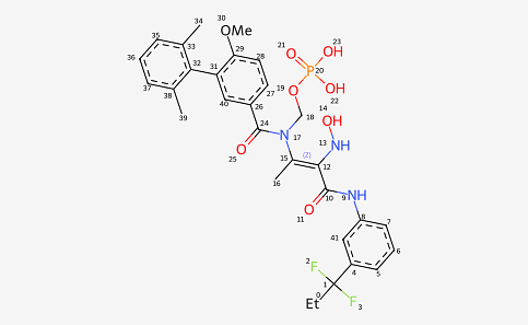 CCC(F)(F)c1cccc(NC(=O)/C(NO)=C(\C)N(COP(=O)(O)O)C(=O)c2ccc(OC)c(-c3c(C)cccc3C)c2)c1